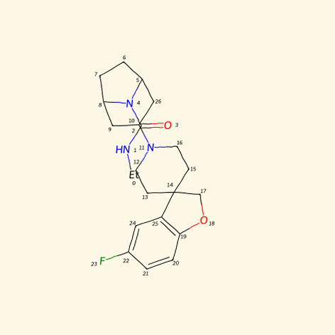 CCNC(=O)N1C2CCC1CC(N1CCC3(CC1)COc1ccc(F)cc13)C2